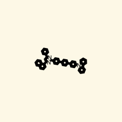 c1ccc(-c2cc(-c3cccc4ccccc34)nc(-c3ccc(-c4ccc(-c5ccc(-n6c7ccccc7c7ccccc76)cc5)cc4)cc3)n2)cc1